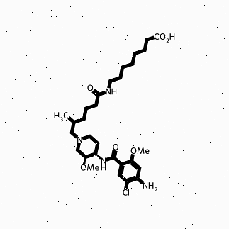 COc1cc(N)c(Cl)cc1C(=O)N[C@@H]1CCN(CC(C)CCCC(=O)NCCCCCCCC(=O)O)C[C@@H]1OC